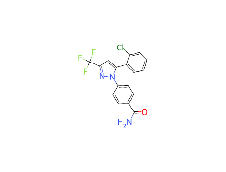 NC(=O)c1ccc(-n2nc(C(F)(F)F)cc2-c2ccccc2Cl)cc1